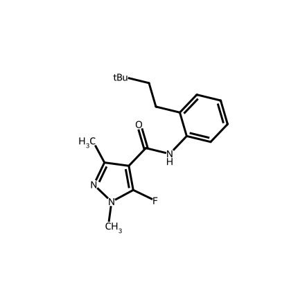 Cc1nn(C)c(F)c1C(=O)Nc1ccccc1CCC(C)(C)C